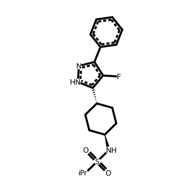 CC(C)S(=O)(=O)N[C@H]1CC[C@H](c2[nH]nc(-c3ccccc3)c2F)CC1